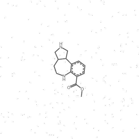 COC(=O)c1cccc2c1NCCC1CNCC21